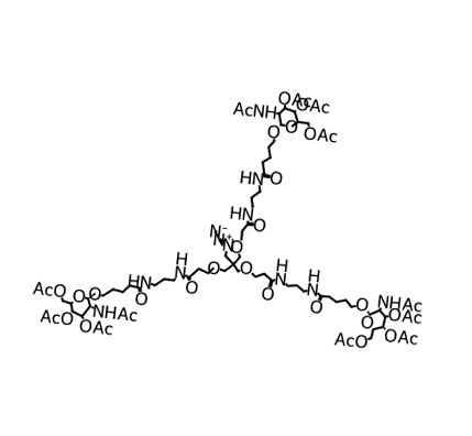 CC(=O)NC1C(OC(C)=O)[C@@H](OC(C)=O)C(COC(C)=O)O[C@H]1OCCCCC(=O)NCCCNC(=O)CCOCC(CN=[N+]=[N-])(COCCC(=O)NCCCNC(=O)CCCCO[C@@H]1OC(COC(C)=O)[C@H](OC(C)=O)C(OC(C)=O)C1NC(C)=O)COCCC(=O)NCCCNC(=O)CCCCO[C@@H]1OC(COC(C)=O)[C@H](OC(C)=O)C(OC(C)=O)[C@@H]1NC(C)=O